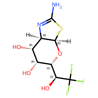 NC1=N[C@@H]2[C@@H](O)[C@@H](O)[C@@H]([C@H](O)C(F)(F)F)O[C@@H]2S1